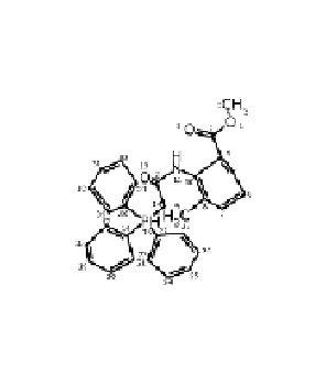 COC(=O)c1cccc(C)c1NC(=O)C[PH](c1ccccc1)(c1ccccc1)c1ccccc1